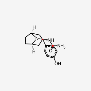 NC(=O)N[C@H]1C[C@H]2CC[C@@H](C1)N2Cc1ccc(O)cc1